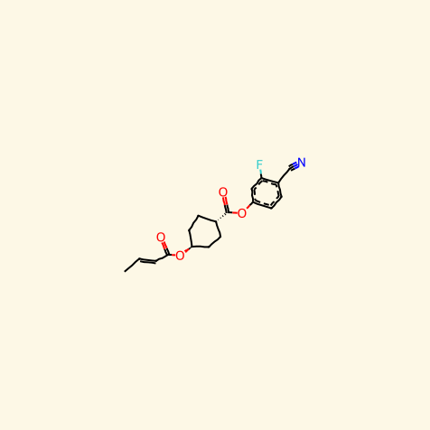 C/C=C/C(=O)O[C@H]1CC[C@H](C(=O)Oc2ccc(C#N)c(F)c2)CC1